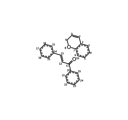 C1=Cc2ccccc2OC1.O=C(C=Cc1ccccc1)c1ccccc1